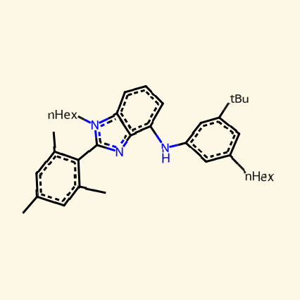 CCCCCCc1cc(Nc2cccc3c2nc(-c2c(C)cc(C)cc2C)n3CCCCCC)cc(C(C)(C)C)c1